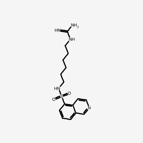 N=C(N)NCCCCCCNS(=O)(=O)c1cccc2cnccc12